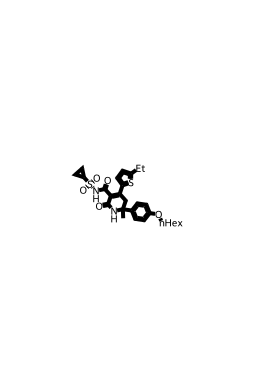 CCCCCCOc1ccc(C2(C)CC(c3ccc(CC)s3)=C(C(=O)NS(=O)(=O)C3CC3)C(=O)N2)cc1